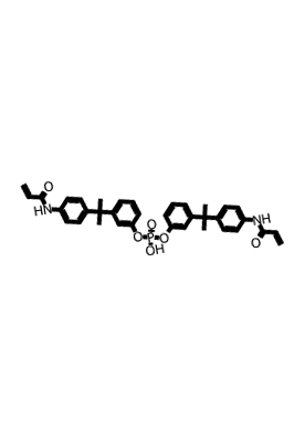 C=CC(=O)Nc1ccc(C(C)(C)c2cccc(OP(=O)(O)Oc3cccc(C(C)(C)c4ccc(NC(=O)C=C)cc4)c3)c2)cc1